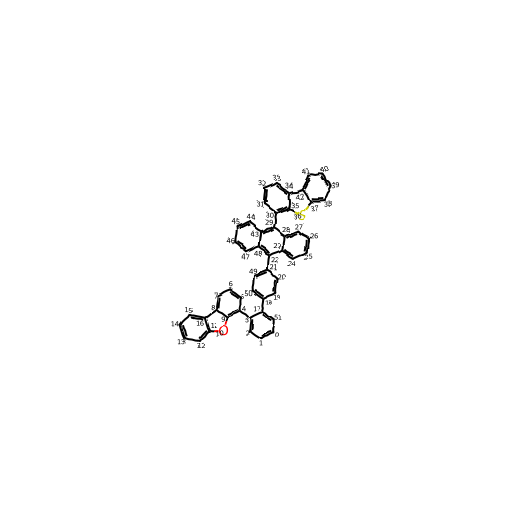 c1ccc(-c2cccc3c2oc2ccccc23)c(-c2ccc(-c3c4ccccc4c(-c4cccc5c4sc4ccccc45)c4ccccc34)cc2)c1